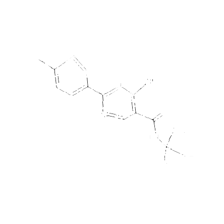 Cc1ccc(-c2ncc(C(=O)NC(C)(C)C)c(N)n2)cc1